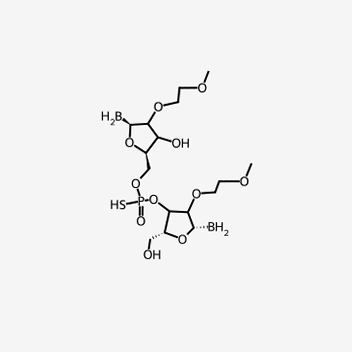 B[C@@H]1O[C@H](COP(=O)(S)OC2C(OCCOC)[C@H](B)O[C@@H]2CO)C(O)C1OCCOC